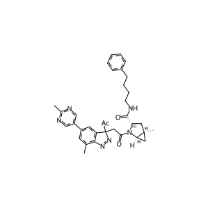 CC(=O)C1(CC(=O)N2[C@H](C(=O)NCCCCc3ccccc3)C[C@@]3(C)C[C@@H]23)N=Nc2c(C)cc(-c3cnc(C)nc3)cc21